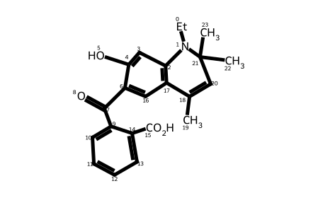 CCN1c2cc(O)c(C(=O)c3ccccc3C(=O)O)cc2C(C)=CC1(C)C